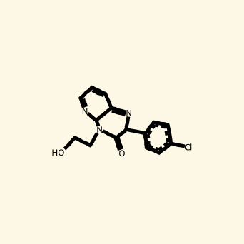 O=C1C(c2ccc(Cl)cc2)N=C2C=CC=NC2N1CCO